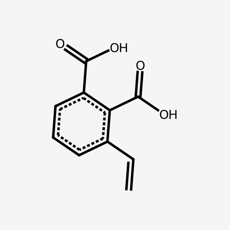 C=Cc1cccc(C(=O)O)c1C(=O)O